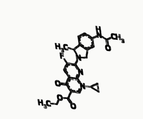 CCOC(=O)c1cn(C2CC2)c2nc(N3Cc4cc(NC(C)=O)ccc4C3C)c(F)cc2c1=O